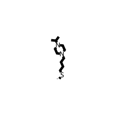 [CH2]SCCCCN1CCN(C(C)C)CC1